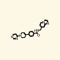 O=C(NCc1ccn2ccnc2c1)c1ccc(C2=CCN(c3ccncn3)CC2)cc1